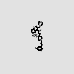 COc1ccc2ncc(CN3CCOCC3)c([C@@H](F)CCC3(C(=O)O)CCN(CCCc4cc(F)cc(F)c4F)CC3)c2c1